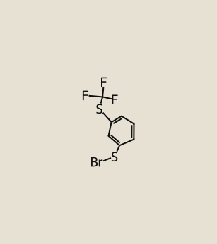 FC(F)(F)Sc1cccc(SBr)c1